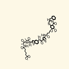 COC(=O)CCCCC(=O)N[C@@H](C)C(=O)N[C@@H](C)C(=O)Nc1cc2cc(NC(=O)c3cc(NC(=O)CCCOc4cc5c(cc4OC)C(=O)N4c6ccccc6C[C@H]4C=N5)cn3C)ccc2s1